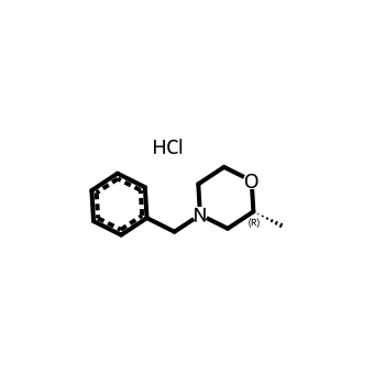 C[C@@H]1CN(Cc2ccccc2)CCO1.Cl